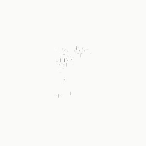 CCCCC(CC)COC(=O)CCSc1ccc(Nc2c(C(=O)OC)cc(Cc3ccnc(N)c3F)c(F)c2F)c(F)c1